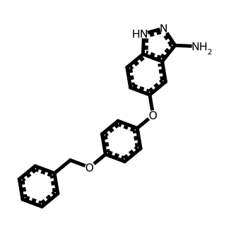 Nc1n[nH]c2ccc(Oc3ccc(OCc4ccccc4)cc3)cc12